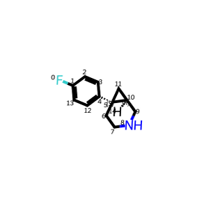 Fc1ccc([C@@]23CCNC[C@@H]2C3)cc1